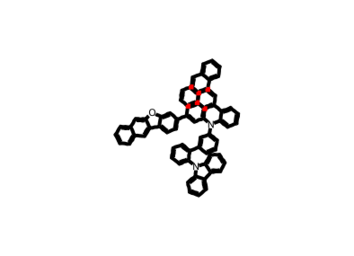 c1cc(-c2ccccc2-n2c3ccccc3c3ccccc32)cc(N(c2cc(-c3ccc4ccccc4c3)cc(-c3ccc4c(c3)oc3cc5ccccc5cc34)c2)c2ccccc2-c2ccc3ccccc3c2)c1